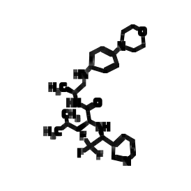 CC(C)C[C@H](N[C@@H](c1cccnc1)C(F)(F)F)C(=O)N[C@@H](C)CNc1ccc(N2CCOCC2)cc1